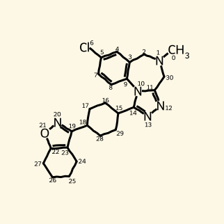 CN1Cc2cc(Cl)ccc2-n2c(nnc2C2CCC(c3noc4c3CCCC4)CC2)C1